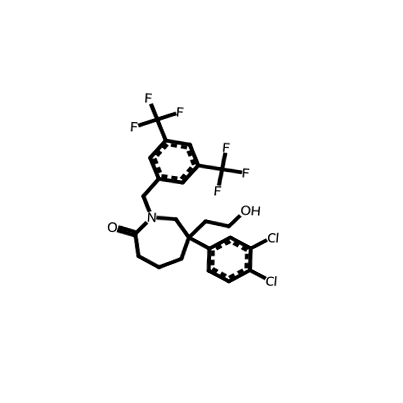 O=C1CCCC(CCO)(c2ccc(Cl)c(Cl)c2)CN1Cc1cc(C(F)(F)F)cc(C(F)(F)F)c1